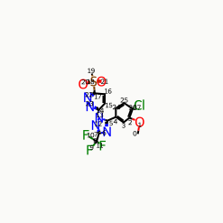 COc1cc(-c2nc(C(F)(F)F)nn2-c2ccc(S(C)(=O)=O)nn2)ccc1Cl